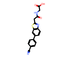 N#Cc1ccc(-c2ccc3nc(CC(=O)NCC(=O)O)sc3c2)cc1